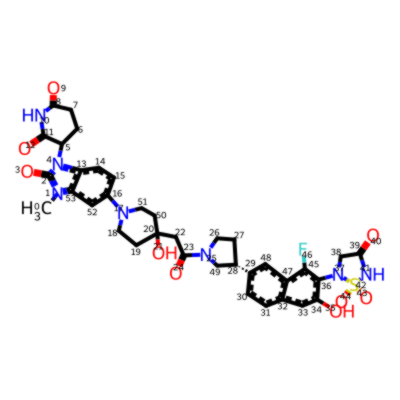 Cn1c(=O)n(C2CCC(=O)NC2=O)c2ccc(N3CCC(O)(CC(=O)N4CC[C@H](c5ccc6cc(O)c(N7CC(=O)NS7(=O)=O)c(F)c6c5)C4)CC3)cc21